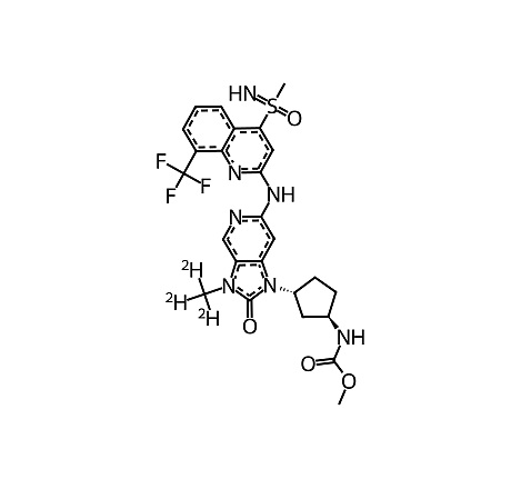 [2H]C([2H])([2H])n1c(=O)n([C@@H]2CC[C@@H](NC(=O)OC)C2)c2cc(Nc3cc(S(C)(=N)=O)c4cccc(C(F)(F)F)c4n3)ncc21